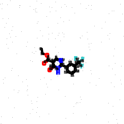 CCOC(=O)c1cnc(-c2cccc(C(F)(F)F)c2)[nH]c1=O